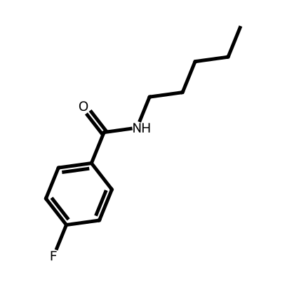 CCCCCNC(=O)c1ccc(F)cc1